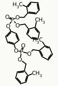 Cc1ccccc1COP(=O)(OCc1ccccc1C)Oc1ccc(OP(=O)(OCc2ccccc2C)OCc2ccccc2C)cc1